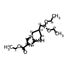 CCOC(=O)c1cn2c(n1)NCC(CP(OCC)OCC)C2